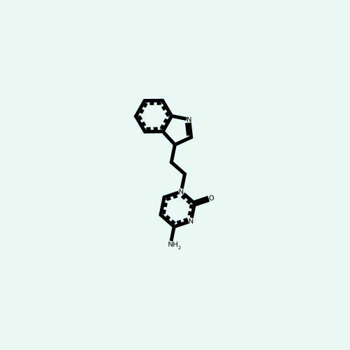 Nc1ccn(CCC2C=Nc3ccccc32)c(=O)n1